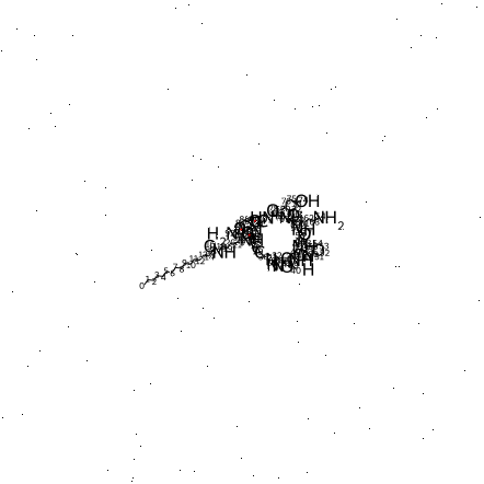 CCCCCCCCCCCCCCCC(=O)NCCCC[C@@H](NC(=O)[C@H]1CCCCn2cc(nn2)CC(NC(C)=O)C(=O)N[C@@H](Cc2c[nH]c3ccccc23)C(=O)N[C@@H](CCCCN)C(=O)N[C@@H](Cc2ccc(O)cc2)C(=O)NCC(=O)N1c1ccccc1C)C(N)=O